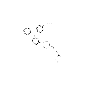 COc1ccc(N(c2ccccc2)c2cncc(N3CCC(COCC(=O)OC(C)(C)C)CC3)n2)cc1